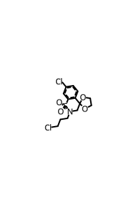 O=S1(=O)c2cc(Cl)ccc2C2(CN1CCCCl)OCCO2